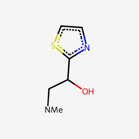 CNCC(O)c1nccs1